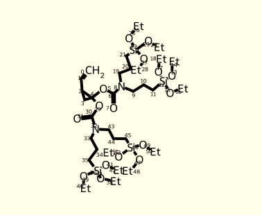 C=CC1CC1(OC(=O)N(CCC[Si](OCC)(OCC)OCC)CCC[Si](OCC)(OCC)OCC)OC(=O)N(CCC[Si](OCC)(OCC)OCC)CCC[Si](OCC)(OCC)OCC